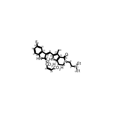 CCN(CC)CCN1CCc2[nH]c(C=C3C(=O)Nc4ccc(F)cc43)c(C)c2C1=O.O=C(O)/C=C\C(=O)O